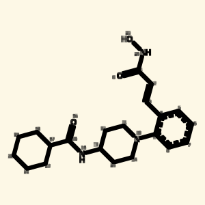 O=C(C=Cc1ccccc1N1CCC(NC(=O)C2CCCCC2)CC1)NO